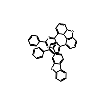 C1=CC2Oc3cccc(-c4ccc(-c5ccccc5)cc4)c3C2C(c2nc(-c3ccccc3)nc(-c3ccc4c(c3)sc3ccccc34)n2)=C1